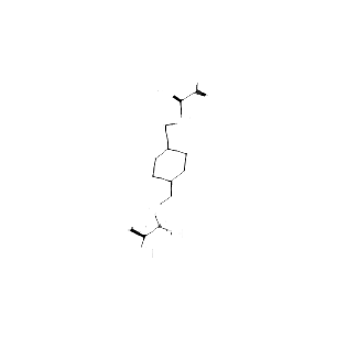 C=C(C)C(=O)OCC1CCC(COC(O)C(=C)C)CC1